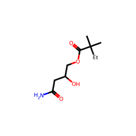 CCC(C)(C)C(=O)OCC(O)CC(N)=O